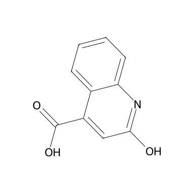 O=C(O)c1cc(O)nc2ccccc12